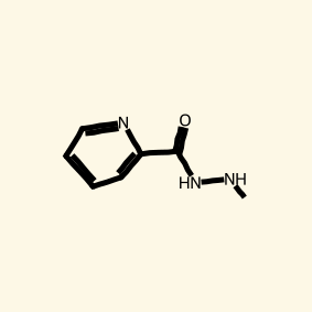 CNNC(=O)c1ccccn1